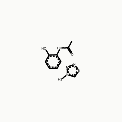 CC(=O)Nc1ccccc1O.Sn1cnnn1